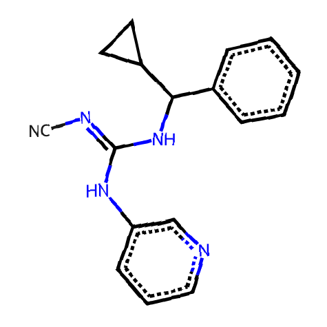 N#CN=C(Nc1cccnc1)NC(c1ccccc1)C1CC1